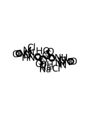 O=S(=O)(O)c1cc(Nc2nc(Cl)nc(N3CCOCC3)n2)ccc1C=Cc1ccc(Nc2nc(Cl)nc(N3CCOCC3)n2)cc1S(=O)(=O)O.[Na].[Na]